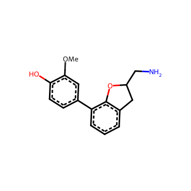 COc1cc(-c2cccc3c2OC(CN)C3)ccc1O